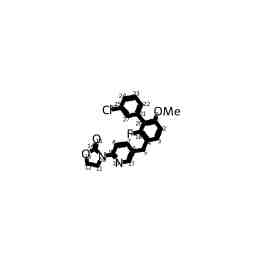 COc1ccc(Cc2ccc(N3CCOC3=O)nc2)c(F)c1-c1cccc(Cl)c1